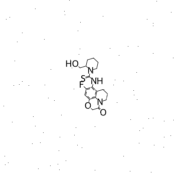 O=C1COc2cc(F)c(NC(=S)N3CCCCC3CO)c3c2N1CCC3